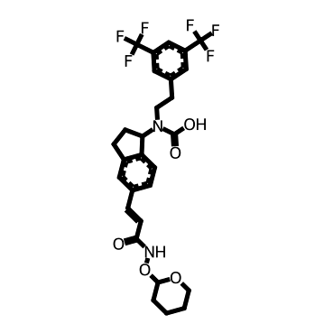 O=C(/C=C/c1ccc2c(c1)CCC2N(CCc1cc(C(F)(F)F)cc(C(F)(F)F)c1)C(=O)O)NOC1CCCCO1